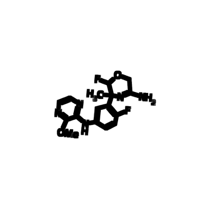 COc1nccnc1Nc1ccc(F)c(C2(C)N=C(N)COC2F)c1